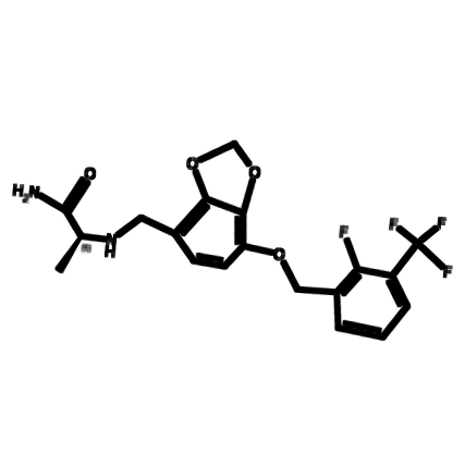 C[C@H](NCc1ccc(OCc2cccc(C(F)(F)F)c2F)c2c1OCO2)C(N)=O